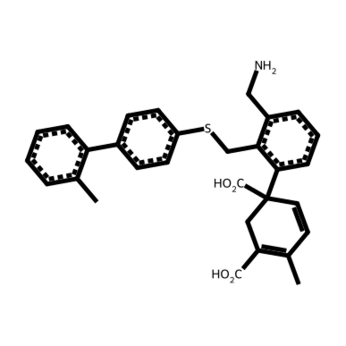 CC1=C(C(=O)O)CC(C(=O)O)(c2cccc(CN)c2CSc2ccc(-c3ccccc3C)cc2)C=C1